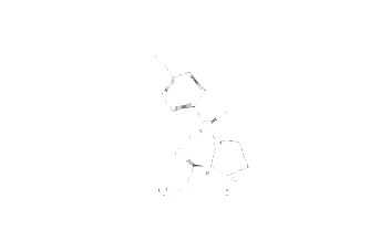 COC(=O)[C@@H]1[C@@H](F)CCN1S(=O)(=O)c1ccc(F)cc1